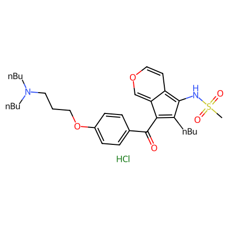 CCCCc1c(NS(C)(=O)=O)c2ccocc-2c1C(=O)c1ccc(OCCCN(CCCC)CCCC)cc1.Cl